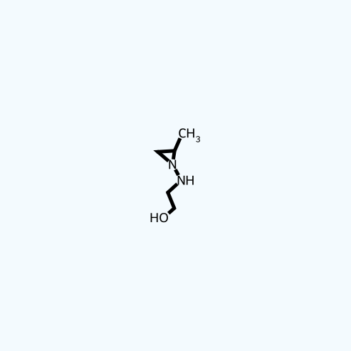 CC1CN1NCCO